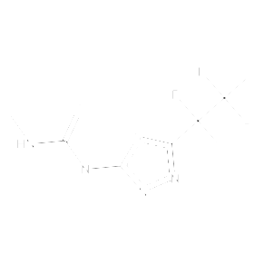 CNC(=O)Nc1nnc(C(F)(F)C(F)(F)F)s1